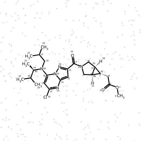 COC(=O)C[C@@H]1[C@H]2CN(C(=O)c3cc4nc(Cl)cc(N(CC(C)C)[C@H](C)C(C)C)n4n3)C[C@@H]12